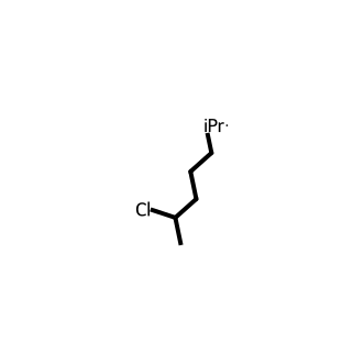 C[C](C)CCCC(C)Cl